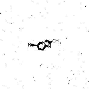 Cc1cn2cc(C#N)ccc2n1